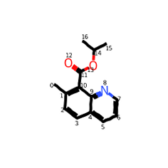 Cc1ccc2cccnc2c1C(=O)OC(C)C